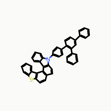 c1ccc(-c2ccc(-c3ccc(-n4c5ccccc5c5c6c(ccc7sc8ccccc8c76)ccc54)cc3)c(-c3ccccc3)c2)cc1